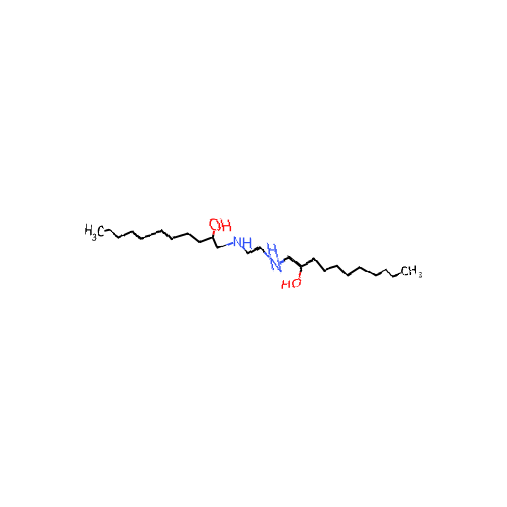 CCCCCCCCCC(O)CNCCNCC(O)CCCCCCCCC